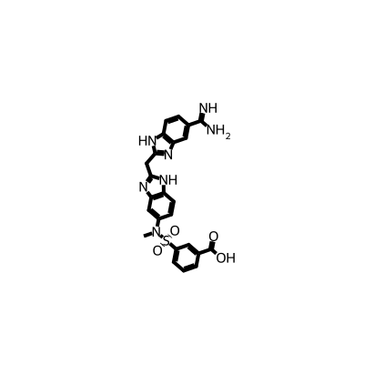 CN(c1ccc2[nH]c(Cc3nc4cc(C(=N)N)ccc4[nH]3)nc2c1)S(=O)(=O)c1cccc(C(=O)O)c1